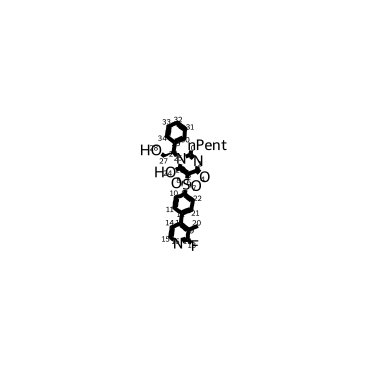 CCCCCc1nc(=O)c(S(=O)(=O)c2ccc(-c3ccnc(F)c3C)cc2)c(O)n1[C@@H](CO)c1ccccc1